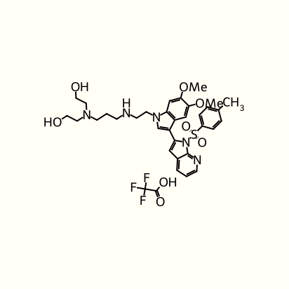 COc1cc2c(-c3cc4cccnc4n3S(=O)(=O)c3ccc(C)cc3)cn(CCNCCCN(CCO)CCO)c2cc1OC.O=C(O)C(F)(F)F